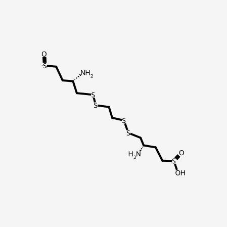 N[C@@H](CC[S]=O)CSSCCSSC[C@@H](N)CCS(=O)O